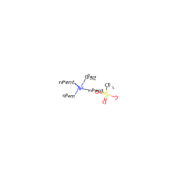 CCCCC[N+](CCCCC)(CCCCC)CCCCC.O=S(=O)([O-])C(F)(F)F